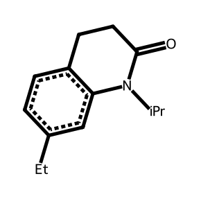 CCc1ccc2c(c1)N(C(C)C)C(=O)CC2